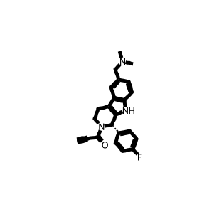 C#CC(=O)N1CCc2c([nH]c3ccc(CN(C)C)cc23)[C@@H]1c1ccc(F)cc1